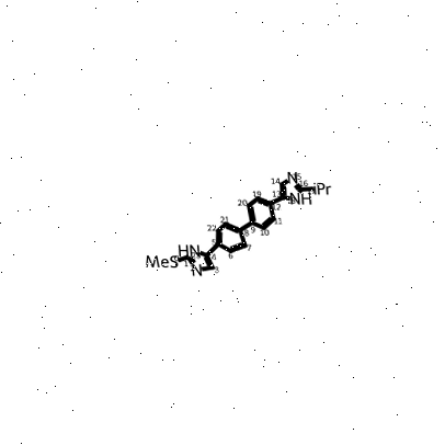 CSc1ncc(-c2ccc(-c3ccc(-c4cnc(C(C)C)[nH]4)cc3)cc2)[nH]1